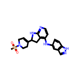 CS(=O)(=O)N1CC=C(C2Cc3c(Nc4ccc5[nH]ncc5c4)ccnc3N2)CC1